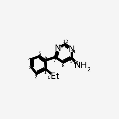 CCc1ccccc1-c1cc(N)ncn1